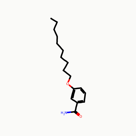 CCCCCCCCCCOc1cccc(C(N)=O)c1